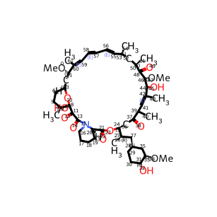 CO[C@H]1C[C@@H]2CC[C@@H](C)[C@@](O)(O2)C(=O)C(=O)N2CCCC[C@H]2C(=O)O[C@H]([C@H](C)C[C@@H]2CC[C@@H](O)[C@H](OC)C2)CC(=O)C(C)/C=C(\C)C(O)[C@@H](OC)C(=O)[C@H](C)C[C@H](C)/C=C/C=C/C=C/1C